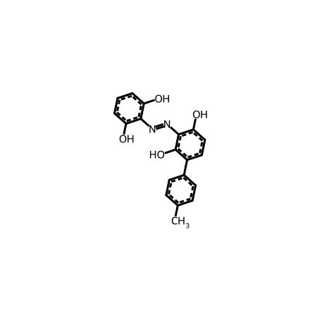 Cc1ccc(-c2ccc(O)c(N=Nc3c(O)cccc3O)c2O)cc1